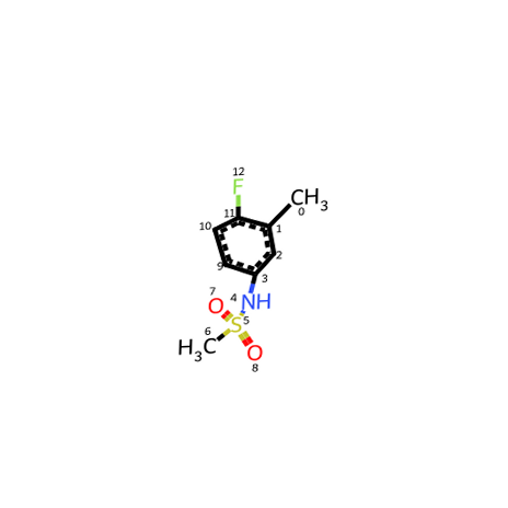 Cc1cc(NS(C)(=O)=O)ccc1F